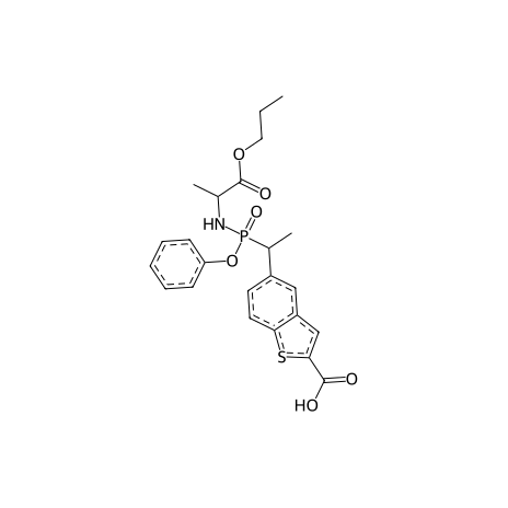 CCCOC(=O)C(C)NP(=O)(Oc1ccccc1)C(C)c1ccc2sc(C(=O)O)cc2c1